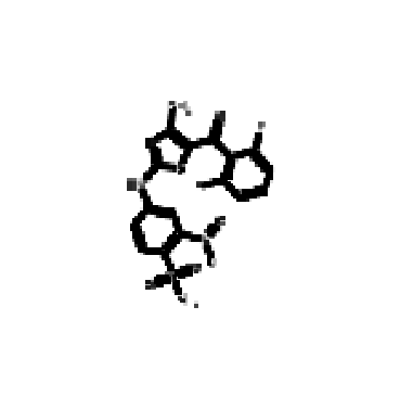 Nc1nc(Nc2ccc(S(N)(=O)=O)c([N+](=O)[O-])c2)sc1C(=O)c1c(F)cccc1F